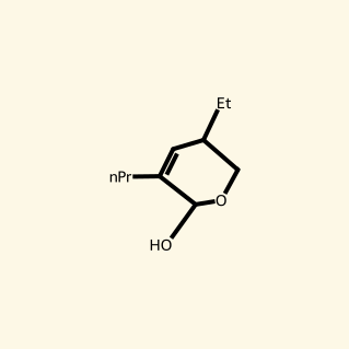 CCCC1=CC(CC)COC1O